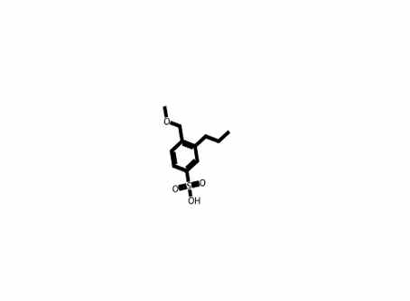 CCCc1cc(S(=O)(=O)O)ccc1COC